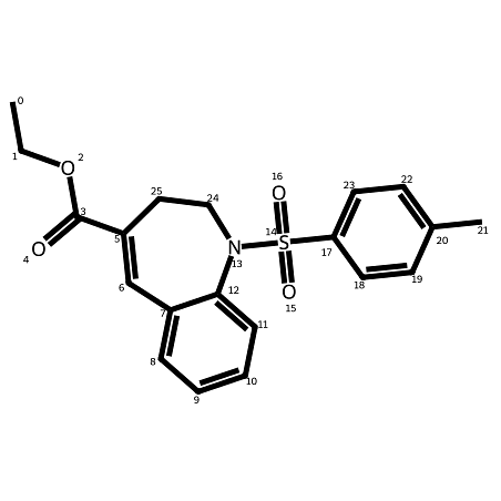 CCOC(=O)C1=Cc2ccccc2N(S(=O)(=O)c2ccc(C)cc2)CC1